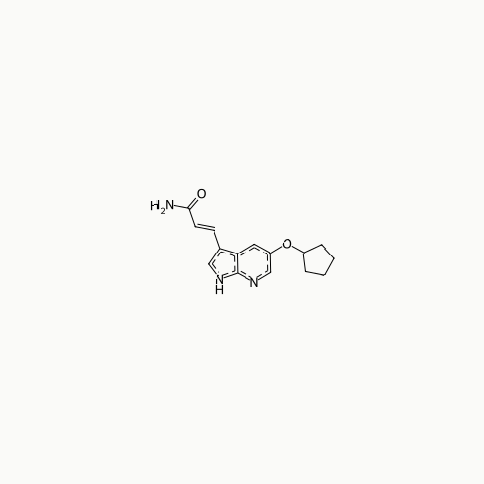 NC(=O)C=Cc1c[nH]c2ncc(OC3CCCC3)cc12